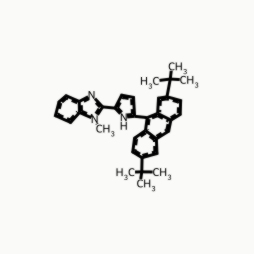 Cn1c(-c2ccc(-c3c4ccc(C(C)(C)C)cc4cc4ccc(C(C)(C)C)cc34)[nH]2)nc2ccccc21